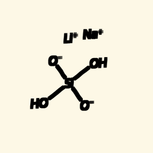 [Li+].[Na+].[O-][Si]([O-])(O)O